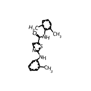 Cc1ccccc1Nc1ncc(C(=O)Nc2c(C)cccc2C)s1